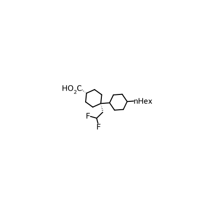 CCCCCCC1CCC([C@]2(CC(F)F)CC[C@@H](C(=O)O)CC2)CC1